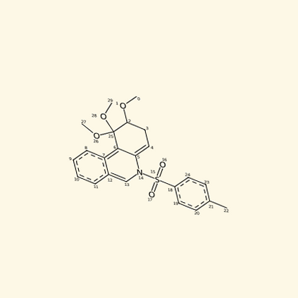 COC1CC=C2C(=c3ccccc3=CN2S(=O)(=O)c2ccc(C)cc2)C1(OC)OC